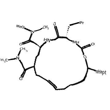 CCCCCCCC1CCC/C=C/CC(C(=O)N(C)C)C[C@@H](C(=O)N(C)OC)NC(=O)[C@H](CC(C)C)NC(=O)O1